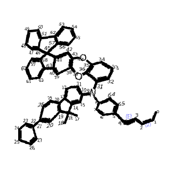 C/C=C\C=C\c1ccc(N(c2ccc3c(c2)C(C)(C)c2cc(-c4ccccc4)ccc2-3)c2cccc3c2Oc2cc4c(cc2O3)C2(c3ccccc3-c3ccccc32)c2ccccc2-4)cc1